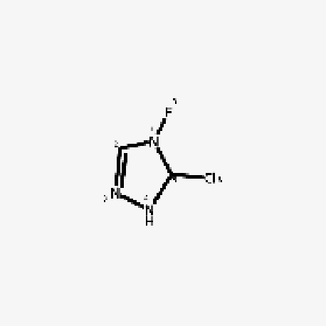 FN1C=NNC1Cl